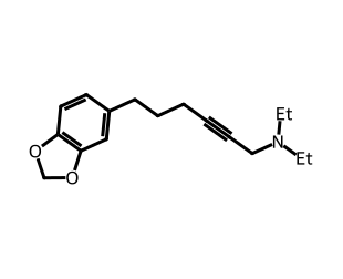 CCN(CC)CC#CCCCc1ccc2c(c1)OCO2